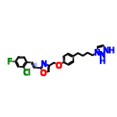 Fc1ccc(/C=C/c2nc(COc3ccc(CCCCN4C=CNN4)cc3)co2)c(Cl)c1